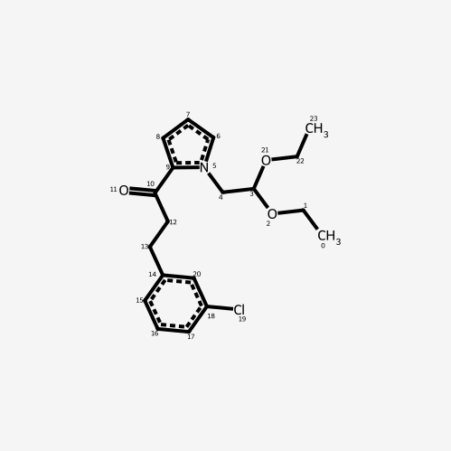 CCOC(Cn1cccc1C(=O)CCc1cccc(Cl)c1)OCC